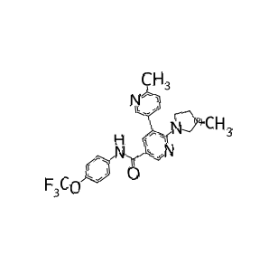 Cc1ccc(-c2cc(C(=O)Nc3ccc(OC(F)(F)F)cc3)cnc2N2CC[C@@H](C)C2)cn1